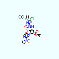 O=C(O)Cc1nc(NC(=O)C(Oc2cnc(C(=O)N3CCC3)cn2)c2ccc(S(=O)(=O)C3CC3)cc2)sc1Cl